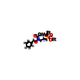 CCOP(=O)(/C=C/CN(OCc1ccccc1)C(=O)OC)OCC